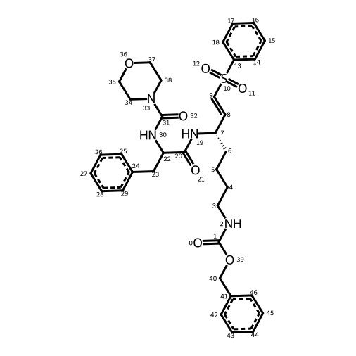 O=C(NCCCC[C@@H](/C=C/S(=O)(=O)c1ccccc1)NC(=O)C(Cc1ccccc1)NC(=O)N1CCOCC1)OCc1ccccc1